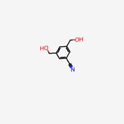 N#Cc1cc(CO)cc(CO)c1